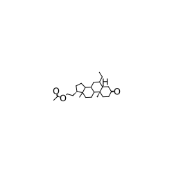 CCC1CC2C3CC[C@H](CCOC(C)=O)C3(C)CCC2[C@@]2(C)CCC(=O)C[C@@H]12